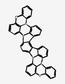 c1ccc2c(c1)Oc1cccc3c1B2c1cccc2c4c5c6cccc7c6n(c5ccc4n-3c12)-c1cccc2c1B7c1ccccc1O2